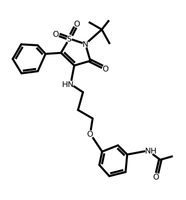 CC(=O)Nc1cccc(OCCCNC2=C(c3ccccc3)S(=O)(=O)N(C(C)(C)C)C2=O)c1